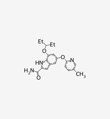 CCC(CC)Oc1cc(Oc2ccc(C)cn2)cc2cc(C(N)=O)[nH]c12